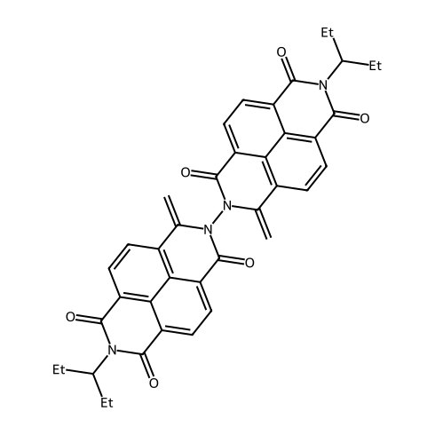 C=c1c2ccc3c4c(ccc(c(=O)n1-n1c(=C)c5ccc6c7c(ccc(c1=O)c75)C(=O)N(C(CC)CC)C6=O)c42)C(=O)N(C(CC)CC)C3=O